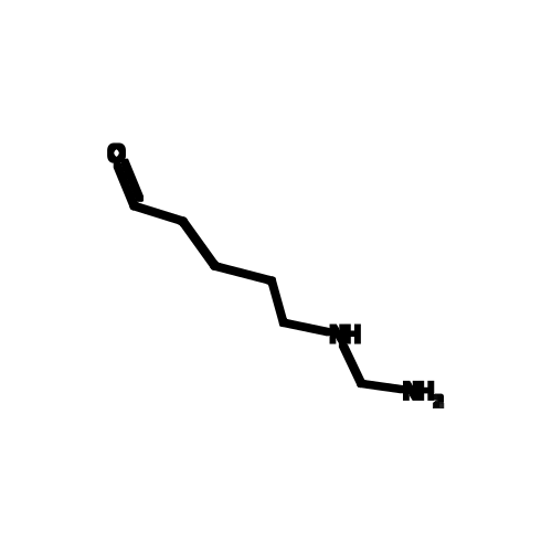 NCNCCCCC=O